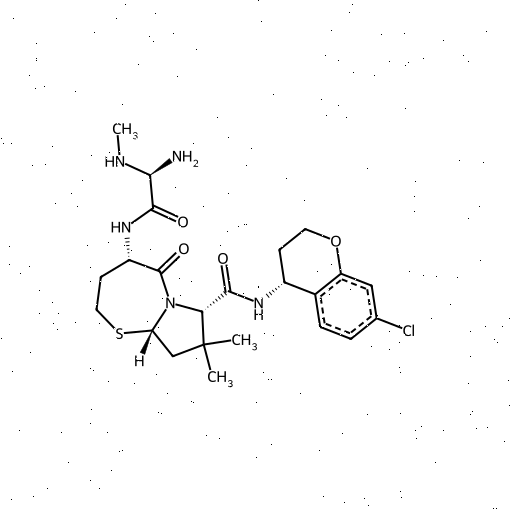 CN[C@@H](N)C(=O)N[C@H]1CCS[C@H]2CC(C)(C)[C@@H](C(=O)N[C@@H]3CCOc4cc(Cl)ccc43)N2C1=O